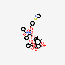 CC(=O)O[C@@]12COC1C[C@H](O)[C@@]1(C)C(=O)[C@H](C)C3=C(C)C(OC(=O)[C@H](OC(=O)OCc4ccc(SSc5ccccn5)cc4)C(NC(=O)c4ccccc4)c4ccccc4)C[C@@](O)([C@@H](OC(=O)c4ccccc4)[C@@H]12)C3(C)C